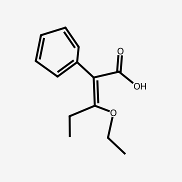 CCO/C(CC)=C(\C(=O)O)c1ccccc1